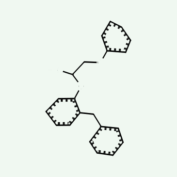 CC(COc1ccccc1)Oc1ccccc1Cc1ccccc1